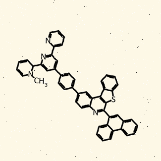 CN1C=CC=CC1c1cc(-c2ccc(-c3ccc4nc(-c5cc6ccccc6c6ccccc56)c5sc6ccccc6c5c4c3)cc2)cc(-c2ccccn2)n1